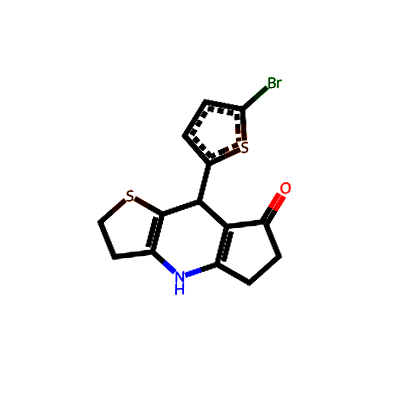 O=C1CCC2=C1C(c1ccc(Br)s1)C1=C(CCS1)N2